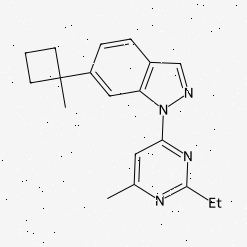 CCc1nc(C)cc(-n2ncc3ccc(C4(C)CCC4)cc32)n1